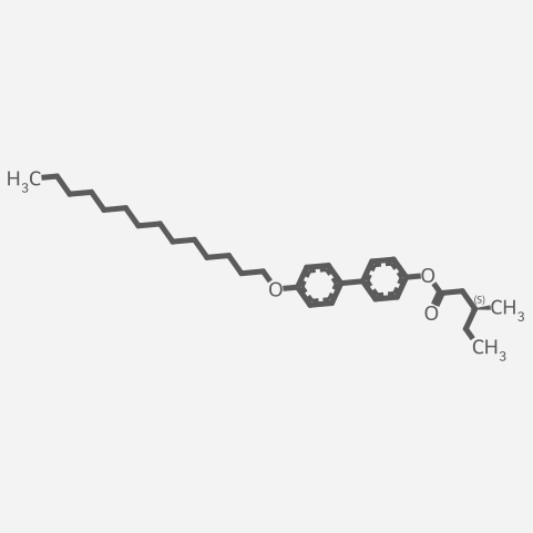 CCCCCCCCCCCCCCOc1ccc(-c2ccc(OC(=O)C[C@@H](C)CC)cc2)cc1